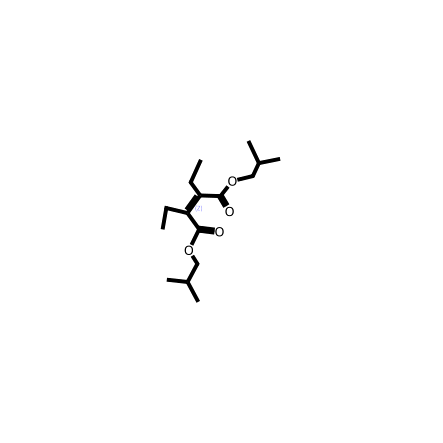 CC/C(C(=O)OCC(C)C)=C(\CC)C(=O)OCC(C)C